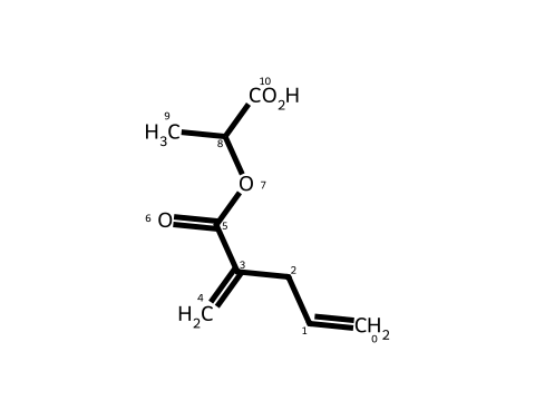 C=CCC(=C)C(=O)OC(C)C(=O)O